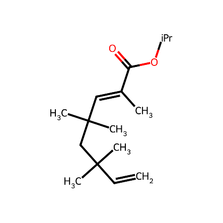 C=CC(C)(C)CC(C)(C)/C=C(\C)C(=O)OC(C)C